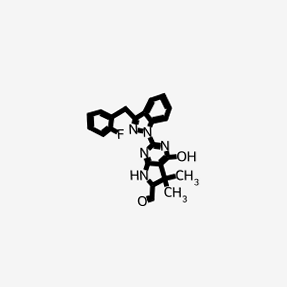 CC1(C)c2c(O)nc(-n3nc(Cc4ccccc4F)c4ccccc43)nc2NC1C=O